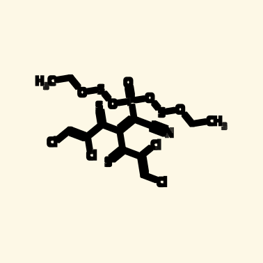 CCOSOP(=O)(OSOCC)C(C#N)=C(C(=S)C(Cl)=CCl)C(=S)C(Cl)=CCl